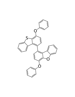 c1ccc(Oc2ccc(-c3ccc(Oc4ccccc4)c4sc5ccccc5c34)c3c2oc2ccccc23)cc1